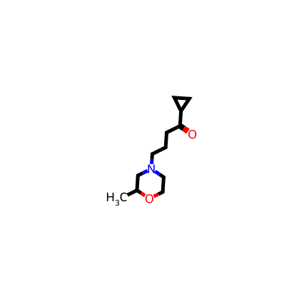 CC1CN(CCCC(=O)C2CC2)CCO1